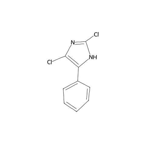 Clc1nc(Cl)c(-c2ccccc2)[nH]1